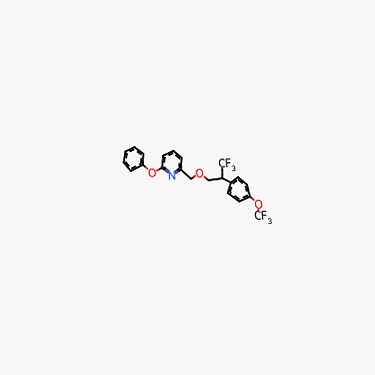 FC(F)(F)Oc1ccc(C(COCc2cccc(Oc3ccccc3)n2)C(F)(F)F)cc1